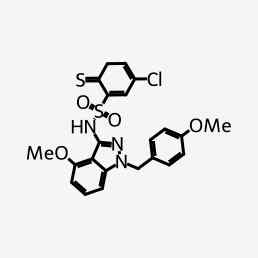 COc1ccc(Cn2nc(NS(=O)(=O)C3=CC(Cl)=CCC3=S)c3c(OC)cccc32)cc1